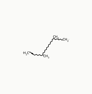 [CH2]CC#CCCCCCC(C)CCCCCCCCCCCC(C)CCCCC[CH2]